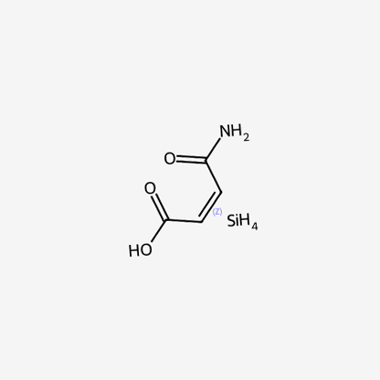 NC(=O)/C=C\C(=O)O.[SiH4]